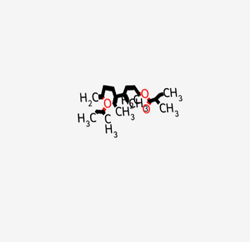 C=C(\C=C/C(=C\C)C(/C=C\C(=C)OC(C)CC)=C\C)OC(=O)C(C)CC